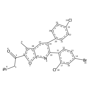 Cc1c(C(=O)CC(C)C)oc2nc(-c3ccc(Br)cc3Cl)c(-c3ccc(Cl)cc3)cc12